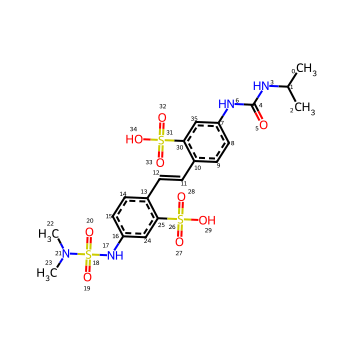 CC(C)NC(=O)Nc1ccc(C=Cc2ccc(NS(=O)(=O)N(C)C)cc2S(=O)(=O)O)c(S(=O)(=O)O)c1